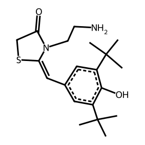 CC(C)(C)c1cc(C=C2SCC(=O)N2CCN)cc(C(C)(C)C)c1O